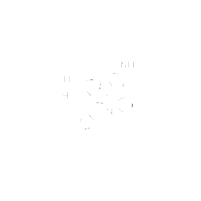 Cc1cc(C2(c3ccc(N)cc3)C(=O)N(Cc3ccccc3Cl)c3ccccc32)cc(C)c1O